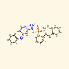 NN(OS(=O)(=O)c1ccccc1C=Cc1ccccc1S(=O)(=O)O)c1ncnc(Nc2ccccc2)n1